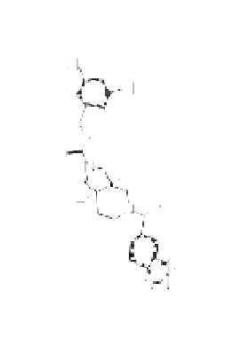 O=C(OCc1cc(Cl)cc(Cl)c1)N1C[C@H]2CCN(C(O)c3ccc4[nH]nnc4c3)C[C@@H]2C1